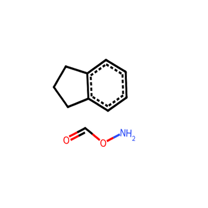 NOC=O.c1ccc2c(c1)CCC2